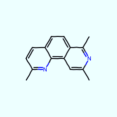 Cc1cc2c(ccc3ccc(C)nc32)c(C)n1